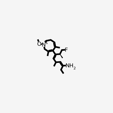 CC/C(N)=C\C(C)/C=C(/C1=C(C)C/[N+](OC)=C\C/C=C\1C)[C@H](C)CF